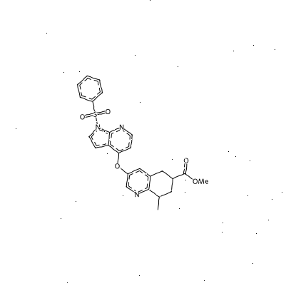 COC(=O)C1Cc2cc(Oc3ccnc4c3ccn4S(=O)(=O)c3ccccc3)cnc2C(C)C1